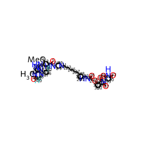 COc1cc(C(=O)NC2CCN(CCCCCCCc3cccc(CNC(=O)COc4cccc5c4C(=O)N(C4CCC(=O)NC4=O)C5=O)c3)CC2)c(F)cc1Nc1ncc2c(n1)N(C1CCCC1)CC(F)(F)C(=O)N2C